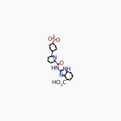 CS(=O)(=O)c1ccc(-c2cccc(C(=O)Nc3nc4c(C(=O)O)cccc4[nH]3)n2)cc1